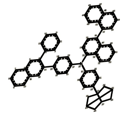 c1ccc(-c2cc3ccccc3cc2-c2ccc(N(c3ccc(C45CC6CC4CC6C5)cc3)c3ccc(-c4cccc5ccccc45)c4ccccc34)cc2)cc1